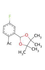 CC(=O)c1ccc(F)cc1C1OC(C)(C)C(C)(C)O1